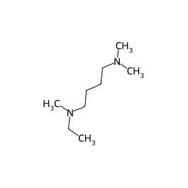 CCN(C)CCCCN(C)C